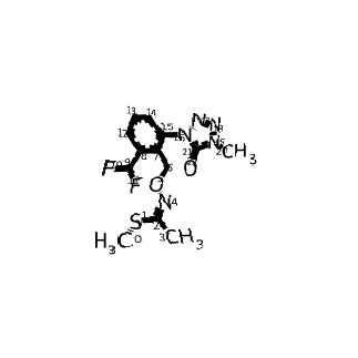 CSC(C)=NOCc1c(C(F)F)cccc1-n1nnn(C)c1=O